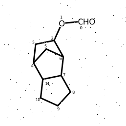 O=COC1CC2CC1C1CCCC21